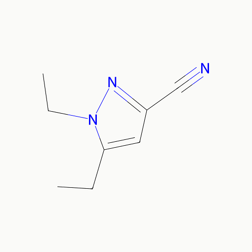 CCc1cc(C#N)nn1CC